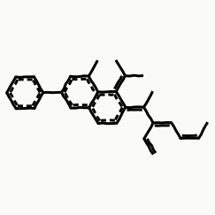 C=CC(=C\C=C/C)/C(C)=c1\ccc2cc(-c3ccccc3)cc(C)c2c1=C(C)C